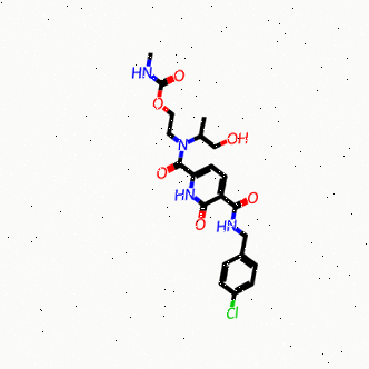 CNC(=O)OCCN(C(=O)c1ccc(C(=O)NCc2ccc(Cl)cc2)c(=O)[nH]1)C(C)CO